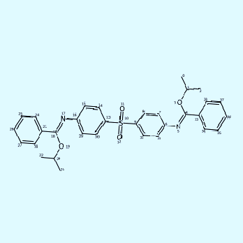 CC(C)O/C(=N\c1ccc(S(=O)(=O)c2ccc(/N=C(\OC(C)C)c3ccccc3)cc2)cc1)c1ccccc1